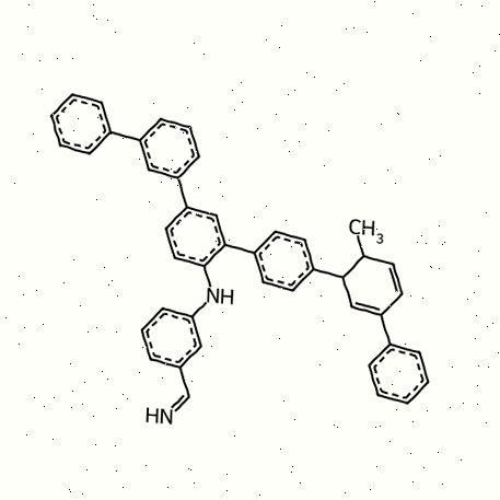 CC1C=CC(c2ccccc2)=CC1c1ccc(-c2cc(-c3cccc(-c4ccccc4)c3)ccc2Nc2cccc(C=N)c2)cc1